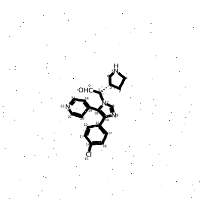 O=[C]C([C@H]1CCNC1)n1cnc(-c2ccc(Cl)cc2)c1-c1ccncc1